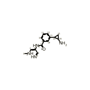 CN/C=C(\C=N)NC(=O)c1cccc(C2CC2N)c1